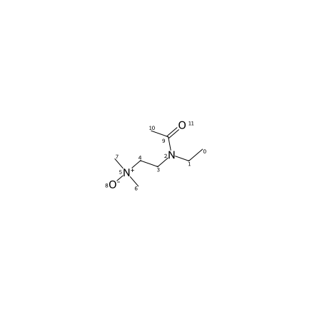 CCN(CC[N+](C)(C)[O-])C(C)=O